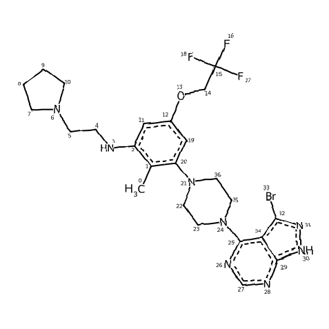 Cc1c(NCCN2CCCC2)cc(OCC(F)(F)F)cc1N1CCN(c2ncnc3[nH]nc(Br)c23)CC1